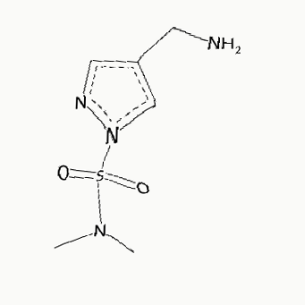 CN(C)S(=O)(=O)n1cc(CN)cn1